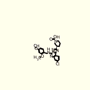 COc1ccc(CNc2nc3cc(Cl)ccc3c3nc([C@@H]4CCCN(C(=O)O)C4)nn23)c(OC)c1